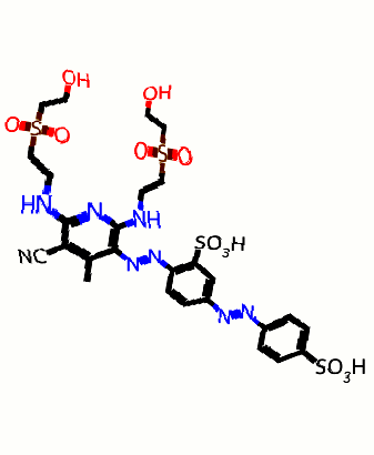 Cc1c(C#N)c(NCCS(=O)(=O)CCO)nc(NCCS(=O)(=O)CCO)c1/N=N/c1ccc(/N=N/c2ccc(S(=O)(=O)O)cc2)cc1S(=O)(=O)O